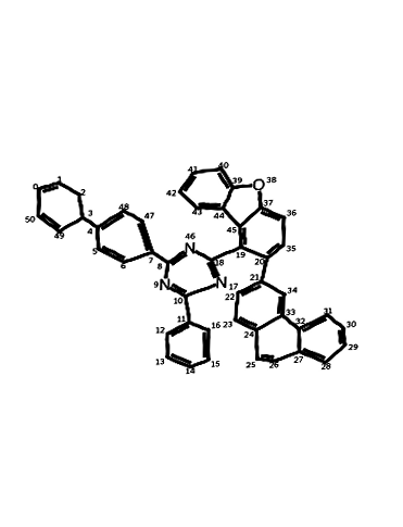 C1=CCC(c2ccc(-c3nc(-c4ccccc4)nc(-c4c(-c5ccc6ccc7ccccc7c6c5)ccc5oc6ccccc6c45)n3)cc2)C=C1